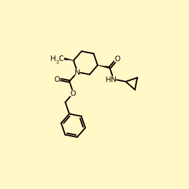 C[C@H]1CC[C@@H](C(=O)NC2CC2)CN1C(=O)OCc1ccccc1